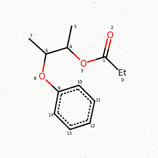 CCC(=O)OC(C)C(C)Oc1ccccc1